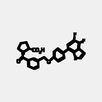 O=C(O)[C@@H]1CCCN1C(=O)c1cccc(COc2ccc(-c3cc(F)c(F)c4ccsc34)cc2)c1